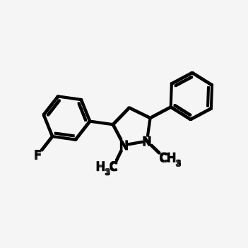 CN1C(c2ccccc2)CC(c2cccc(F)c2)N1C